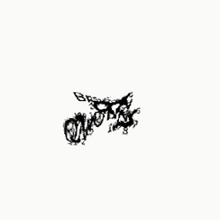 Cc1nc(-n2c(C)ccc2C)nc2c(OCCN3CCOCC3)cc(Br)cc12